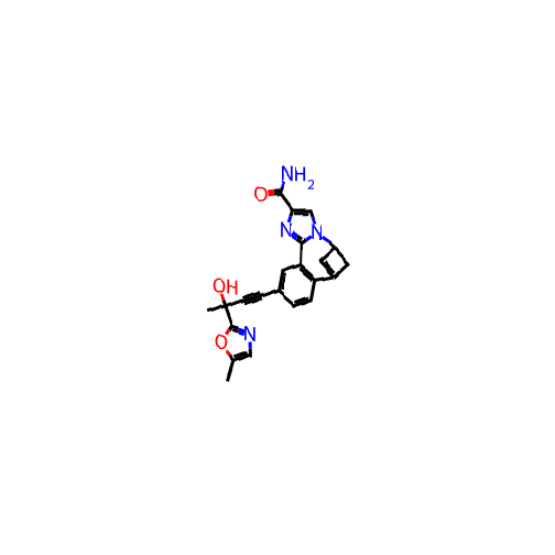 Cc1cnc(C(C)(O)C#Cc2ccc3c(c2)-c2nc(C(N)=O)cn2C2C=C3C2)o1